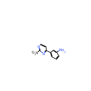 Nc1cccc(-c2ccnc([N+](=O)[O-])n2)c1